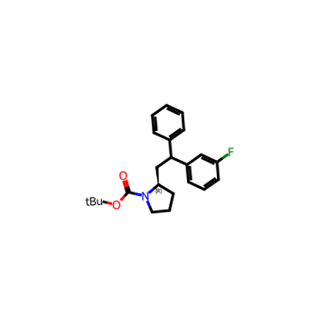 CC(C)(C)OC(=O)N1CCC[C@@H]1CC(c1ccccc1)c1cccc(F)c1